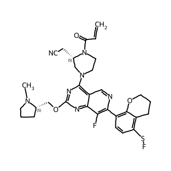 C=CC(=O)N1CCN(c2nc(OC[C@@H]3CCCN3C)nc3c(F)c(-c4ccc(SF)c5c4OCCC5)ncc23)C[C@@H]1CC#N